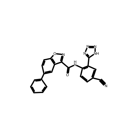 N#Cc1ccc(NC(=O)c2noc3ccc(-c4ccccc4)cc23)c(-c2nnn[nH]2)c1